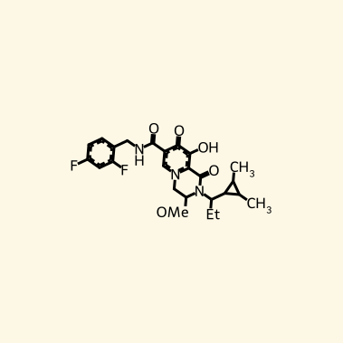 CCC(C1C(C)C1C)N1C(=O)c2c(O)c(=O)c(C(=O)NCc3ccc(F)cc3F)cn2CC1OC